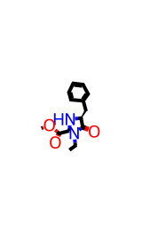 CCN1C(=O)[C@H](Cc2ccccc2)NC1C(=O)OC